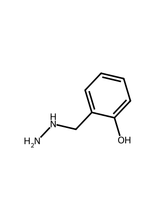 NNCc1ccccc1O